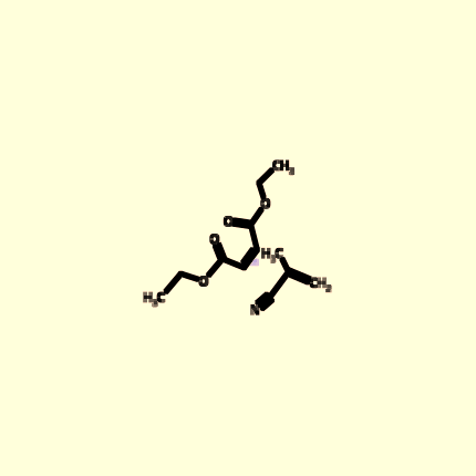 C=C(C)C#N.CCOC(=O)/C=C\C(=O)OCC